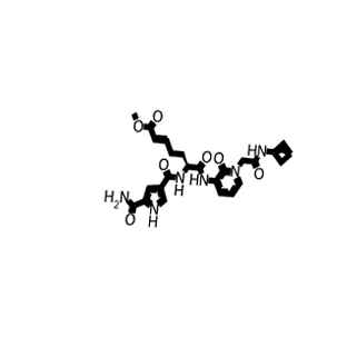 COC(=O)/C=C/CC[C@H](NC(=O)c1c[nH]c(C(N)=O)c1)C(=O)Nc1cccn(CC(=O)NC23CC(C2)C3)c1=O